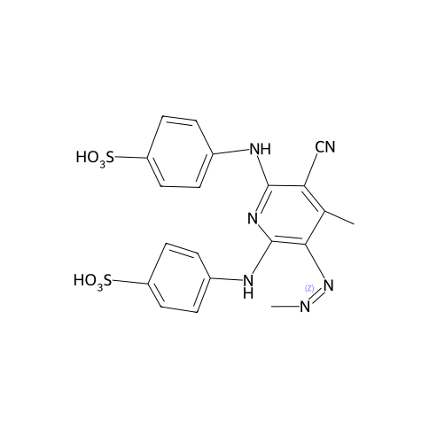 C/N=N\c1c(Nc2ccc(S(=O)(=O)O)cc2)nc(Nc2ccc(S(=O)(=O)O)cc2)c(C#N)c1C